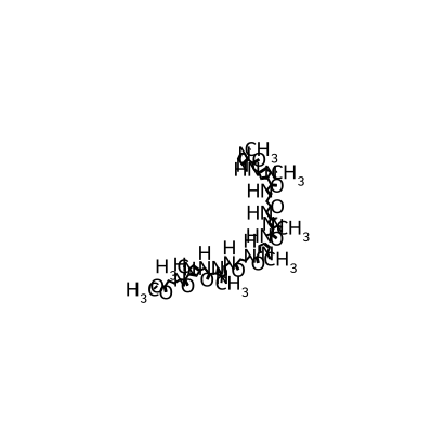 COC(=O)CCNC(=O)c1cc(NC(=O)c2nc(NC(=O)CCNC(=O)c3cc(NC(=O)c4nc(NC(=O)CCNC(=O)c5cc(NC(=O)c6nccn6C)cn5C)cn4C)cn3C)cn2C)cn1C